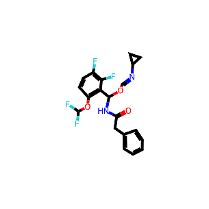 O=C(Cc1ccccc1)NC(OC=NC1CC1)c1c(OC(F)F)ccc(F)c1F